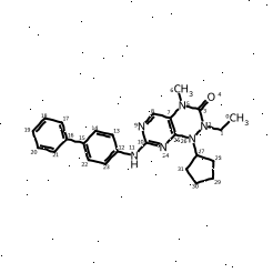 CCN1C(=O)N(C)c2cnc(Nc3ccc(-c4ccccc4)cc3)nc2N1C1CCCC1